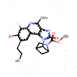 CCc1nc2c(SC)nc3c(F)c(Br)c(CCC#N)cc3c2n1C1C2CC1N(C(=O)OC(C)(C)C)C2